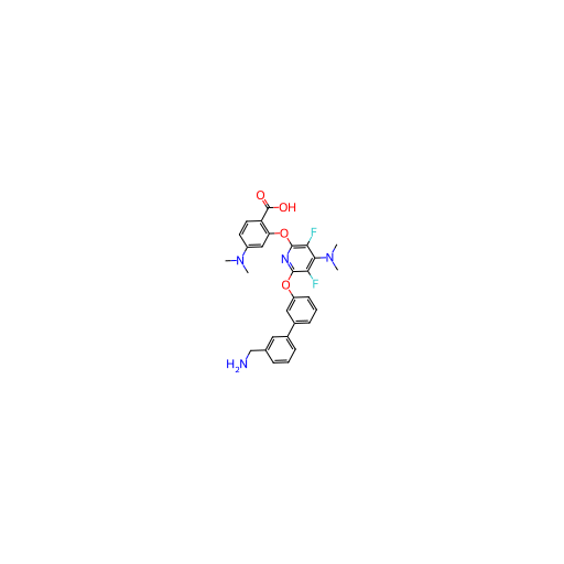 CN(C)c1ccc(C(=O)O)c(Oc2nc(Oc3cccc(-c4cccc(CN)c4)c3)c(F)c(N(C)C)c2F)c1